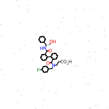 O=C(O)CCN(Cc1ccc(F)cc1)C(=O)c1ccccc1-c1ccccc1C(=O)N[C@@H](CO)c1ccccc1